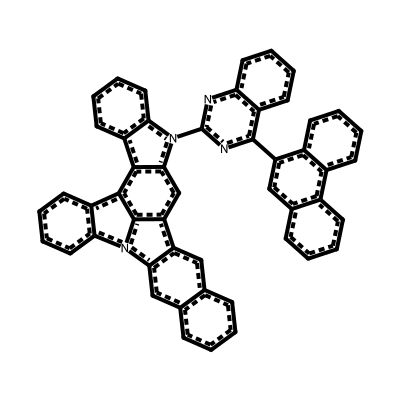 c1ccc2cc3c(cc2c1)c1cc2c(c4ccccc4n2-c2nc(-c4cc5ccccc5c5ccccc45)c4ccccc4n2)c2c4ccccc4n3c12